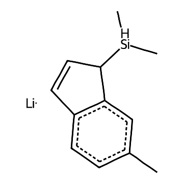 Cc1ccc2c(c1)C([SiH](C)C)C=C2.[Li]